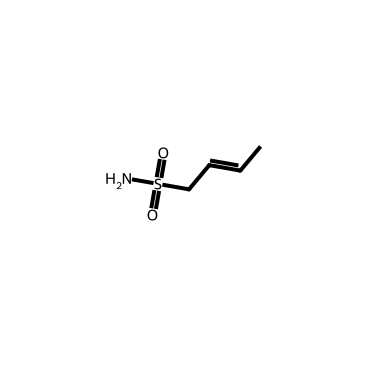 C/C=C/CS(N)(=O)=O